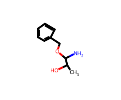 CC(O)C(N)OCc1ccccc1